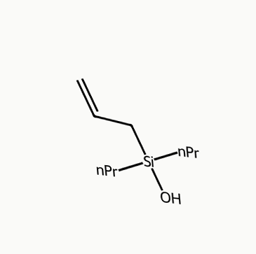 C=CC[Si](O)(CCC)CCC